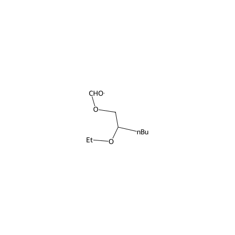 CCCCC(CO[C]=O)OCC